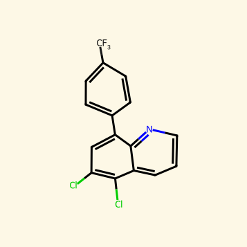 FC(F)(F)c1ccc(-c2cc(Cl)c(Cl)c3cccnc23)cc1